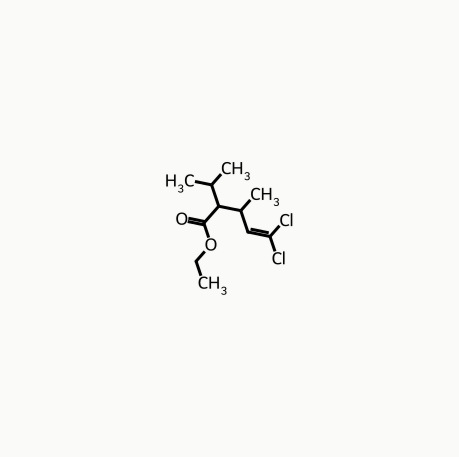 CCOC(=O)C(C(C)C)C(C)C=C(Cl)Cl